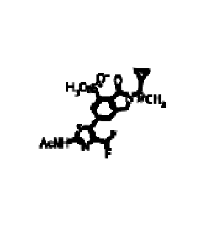 CC(=O)Nc1nc(C(F)F)c(-c2cc3c(c([S@@+](C)[O-])c2)C(=O)N([C@@H](C)C2CC2)C3)s1